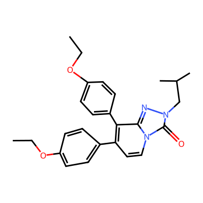 CCOc1ccc(-c2ccn3c(=O)n(CC(C)C)nc3c2-c2ccc(OCC)cc2)cc1